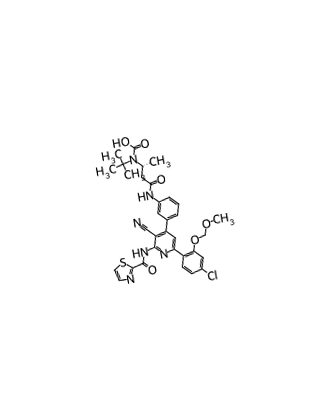 COCOc1cc(Cl)ccc1-c1cc(-c2cccc(NC(=O)C[C@@H](C)N(C(=O)O)C(C)(C)C)c2)c(C#N)c(NC(=O)c2nccs2)n1